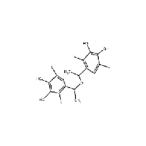 CC(OC(C)c1cc(I)c(O)c(O)c1I)c1cc(I)c(O)c(O)c1I